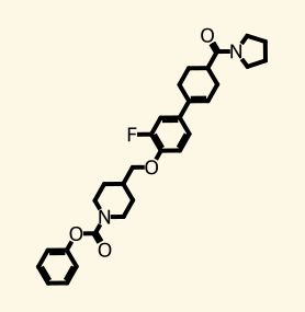 O=C(Oc1ccccc1)N1CCC(COc2ccc(C3=CCC(C(=O)N4CCCC4)CC3)cc2F)CC1